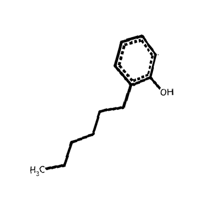 CCCCCCc1ccc[c]c1O